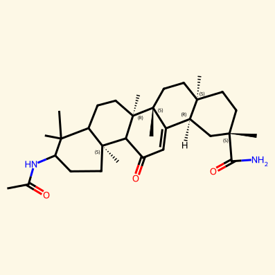 CC(=O)NC1CC[C@@]2(C)C(CC[C@]3(C)C2C(=O)C=C2[C@@H]4C[C@@](C)(C(N)=O)CC[C@]4(C)CC[C@]23C)C1(C)C